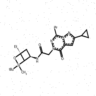 CC[C@]12C[C@@H](NC(=O)Cn3nc(C(C)C)n4nc(C5CC5)cc4c3=O)C1[Si](C)(C(C)(C)C)O2